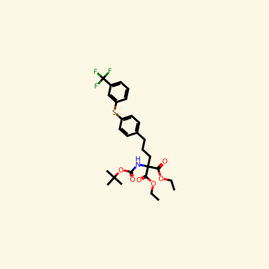 CCOC(=O)C(CCCc1ccc(Sc2cccc(C(F)(F)F)c2)cc1)(NC(=O)OC(C)(C)C)C(=O)OCC